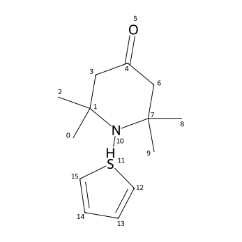 CC1(C)CC(=O)CC(C)(C)N1[SH]1C=CC=C1